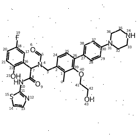 Cc1c(CN(C=O)C(C(=O)Nc2nccs2)c2cc(F)ccc2O)ccc(-c2ccc(N3CCNCC3)cc2)c1OCCO